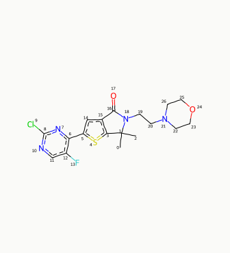 CC1(C)c2sc(-c3nc(Cl)ncc3F)cc2C(=O)N1CCN1CCOCC1